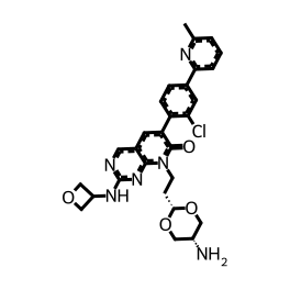 Cc1cccc(-c2ccc(-c3cc4cnc(NC5COC5)nc4n(CC[C@H]4OC[C@@H](N)CO4)c3=O)c(Cl)c2)n1